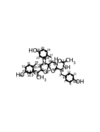 CC(=O)N[C@@H](Cc1ccc(O)cc1)C(=O)N[C@@H](Cc1ccc(O)cc1)C(=O)N[C@@H](Cc1ccc(O)cc1)C(=O)C(C)C